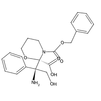 N[C@@](CO)(c1ccccc1)[C@@]1(C(=O)O)OCCCN1C(=O)OCc1ccccc1